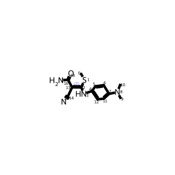 CS/C(Nc1ccc(N(C)C)cc1)=C(/C#N)C(N)=O